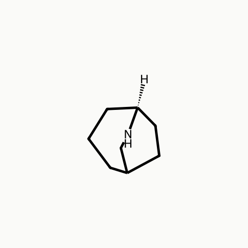 C1CC2CC[C@H](C1)NC2